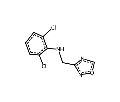 Clc1cccc(Cl)c1NCc1ncon1